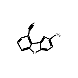 Cc1ccc2oc3cccc(C#N)c3c2c1